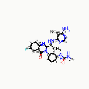 CCNC(=O)Nc1cccc(-n2c(C(C)Nc3ncnc(N)c3C#N)nc3ccc(F)cc3c2=O)c1